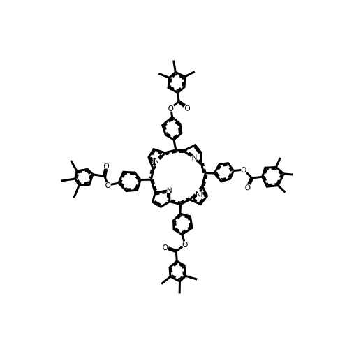 Cc1cc(C(=O)Oc2ccc(-c3c4nc(c(-c5ccc(OC(=O)c6cc(C)c(C)c(C)c6)cc5)c5ccc([nH]5)c(-c5ccc(OC(=O)c6cc(C)c(C)c(C)c6)cc5)c5nc(c(-c6ccc(OC(=O)c7cc(C)c(C)c(C)c7)cc6)c6ccc3[nH]6)C=C5)C=C4)cc2)cc(C)c1C